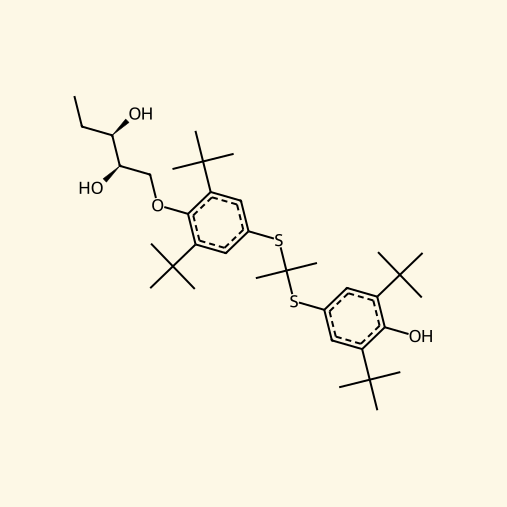 CC[C@@H](O)[C@H](O)COc1c(C(C)(C)C)cc(SC(C)(C)Sc2cc(C(C)(C)C)c(O)c(C(C)(C)C)c2)cc1C(C)(C)C